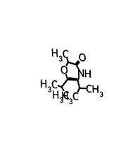 CC(C)C1=C(C(C)C)OC(C)C(=O)N1